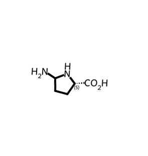 NC1CC[C@@H](C(=O)O)N1